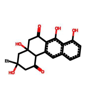 CCC1(O)CC(=O)C2c3cc4cccc(O)c4c(O)c3C(=O)CC2(O)C1